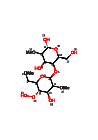 COCC1O[C@@H](O[C@H]2C(O)C(OC)[C@H](O)O[C@H]2CO)C(OC)[C@@H](O)[C@@H]1OO